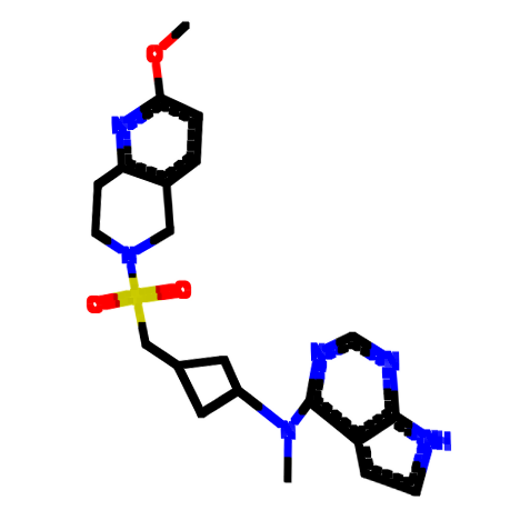 COc1ccc2c(n1)CCN(S(=O)(=O)CC1CC(N(C)c3ncnc4[nH]ccc34)C1)C2